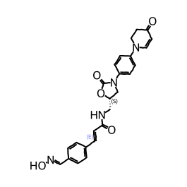 O=C1C=CN(c2ccc(N3C[C@H](CNC(=O)/C=C/c4ccc(C=NO)cc4)OC3=O)cc2)CC1